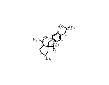 CC1CCC(C(C)C)C(Cc2ccc(OC(C)C)cc2)(C(N)=O)C1